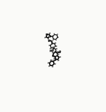 O=C([C@H]1CCCC[C@@H]1n1ccnc1)N1CCC(O)(Cn2cnc3c(ccn3-c3ccccc3)c2=O)CC1